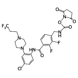 O=C(NCc1ccc(C(=O)Nc2ccc(Cl)cc2N2CCN(CCC(F)(F)F)CC2)c(F)c1F)ON1C(=O)CCC1=O